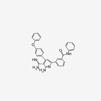 N=C(N)c1c(-c2ccc(Oc3ccccc3)cc2)cc(-c2cccc(C(=O)Nc3ccccc3)c2)nc1N